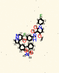 CCOc1ccn(-c2ccc(F)cc2)c(=O)c1C(=O)Nc1ccc(Oc2ccnn3ccc(-c4cccc(-c5ccccc5S(=O)(=O)N(C)C)c4)c23)c(F)c1